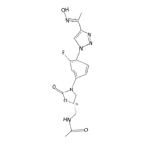 CC(=O)NC[C@H]1CN(c2ccc(-n3cc(C(C)=NO)nn3)c(F)c2)C(=O)O1